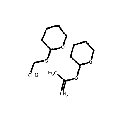 C=C(C)OC1CCCCO1.O=CCOC1CCCCO1